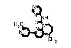 Cc1cc(-c2ccc3c(n2)N(C(=O)Nc2ccncn2)CCCN3C)ccn1